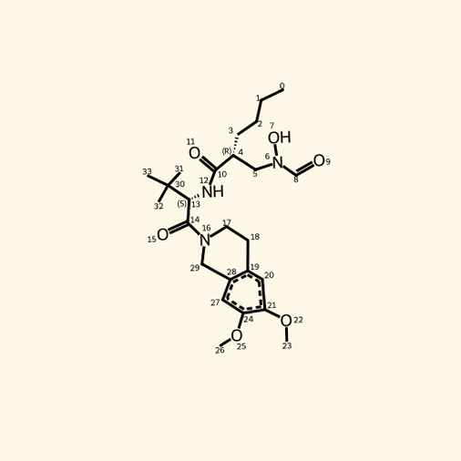 CCCC[C@H](CN(O)C=O)C(=O)N[C@H](C(=O)N1CCc2cc(OC)c(OC)cc2C1)C(C)(C)C